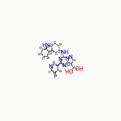 OC(O)c1cnn2c(NC3CCc4[nH]c5ccccc5c4C3)nc(-c3cncc(F)c3)nc12